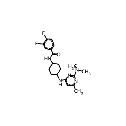 Cc1cc(NC2CCC(NC(=O)c3ccc(F)c(F)c3)CC2)nc(N(C)C)n1